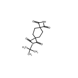 CC(C)(C)N1C(=O)C2(CCC3(CC2)C(=O)NC3=O)C1=O